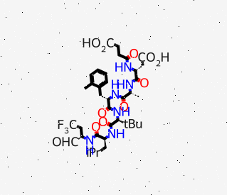 Cc1ccccc1C[C@H](NC(=O)[C@@H](C)NC(=O)[C@@H](CC(=O)O)NC(=O)CCC(=O)O)C(=O)N[C@H](C(=O)N[C@@H](CC(C)C)C(=O)N[C@H](C=O)CC(F)(F)F)C(C)(C)C